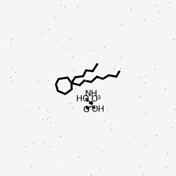 CCCCCCCCC1(CCCCC)CCCCCC1.N.O=S(=O)(O)O